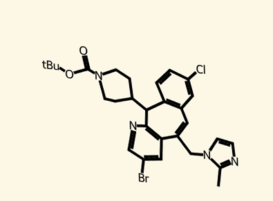 Cc1nccn1CC1=Cc2cc(Cl)ccc2C(C2CCN(C(=O)OC(C)(C)C)CC2)c2ncc(Br)cc21